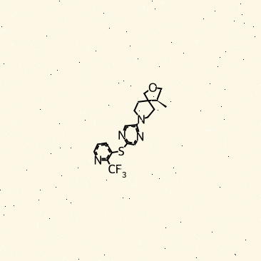 C[C@@H]1COCC12CCN(c1cnc(Sc3cccnc3C(F)(F)F)cn1)CC2